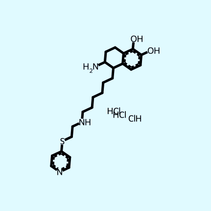 Cl.Cl.Cl.NC1CCc2c(ccc(O)c2O)C1CCCCCCNCCSc1ccncc1